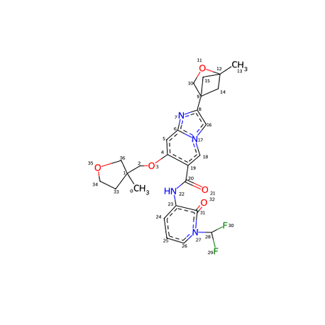 CC1(COc2cc3nc(C45COC(C)(C4)C5)cn3cc2C(=O)Nc2cccn(C(F)F)c2=O)CCOC1